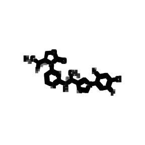 C[C@H](Nc1nccc(N2C(=O)OC[C@@H]2[C@H](C)F)n1)c1cn(-c2cc(F)c(Cl)cc2F)cn1